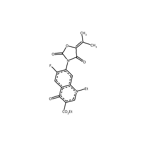 CCOC(=O)c1cn(CC)c2cc(N3C(=O)OC(=C(C)C)C3=O)c(F)cc2c1=O